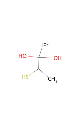 CC(C)C(O)(O)C(C)S